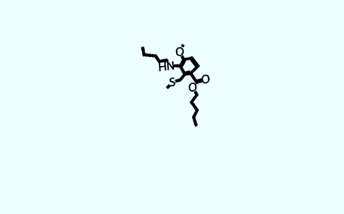 CCCCCNc1c(OC)ccc(C(=O)OCCCCC)c1CSC